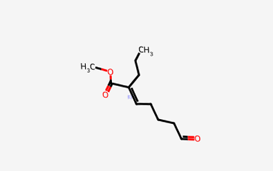 CCC/C(=C\CCCC=O)C(=O)OC